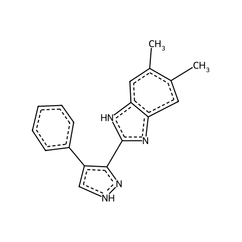 Cc1cc2nc(-c3n[nH]cc3-c3ccccc3)[nH]c2cc1C